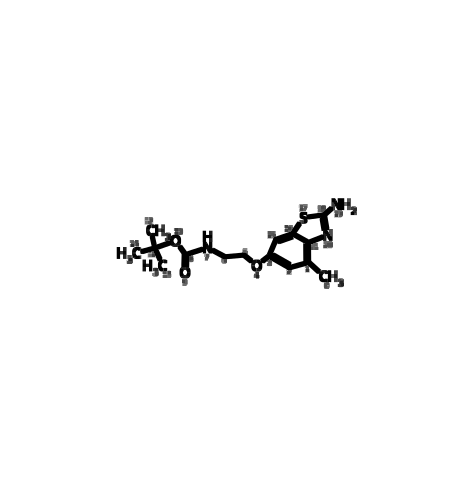 Cc1cc(OCCNC(=O)OC(C)(C)C)cc2sc(N)nc12